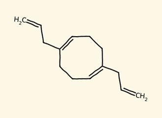 C=CCC1=CCCC(CC=C)=CCC1